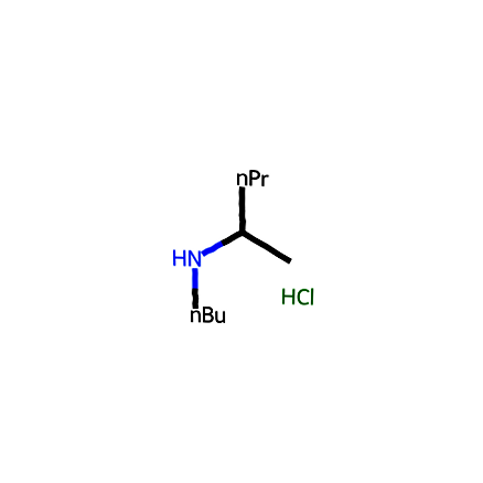 CCCCNC(C)CCC.Cl